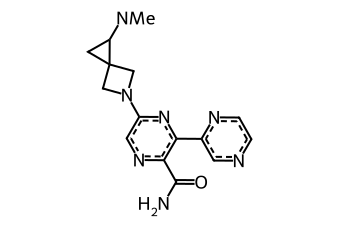 CNC1CC12CN(c1cnc(C(N)=O)c(-c3cnccn3)n1)C2